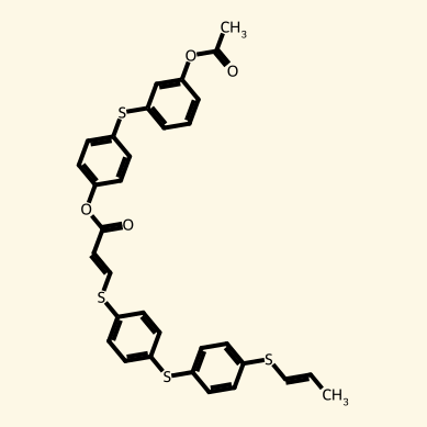 CC=CSc1ccc(Sc2ccc(SC=CC(=O)Oc3ccc(Sc4cccc(OC(C)=O)c4)cc3)cc2)cc1